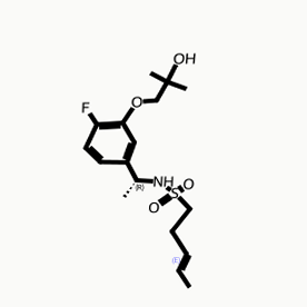 C/C=C/CCS(=O)(=O)N[C@H](C)c1ccc(F)c(OCC(C)(C)O)c1